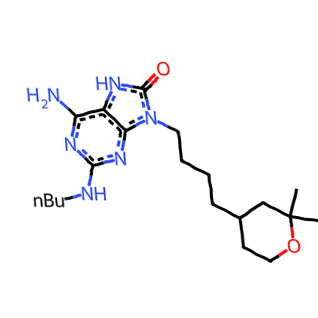 CCCCNc1nc(N)c2[nH]c(=O)n(CCCCC3CCOC(C)(C)C3)c2n1